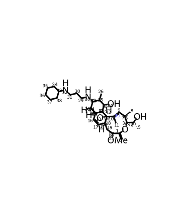 C=C1O[C@H]([C@@H](C)O)[C@H](C)/C=C(\C)[C@]23O[C@@H]4[C@H](C=C[C@@H]2C[C@@H]1OC)[C@H]3[C@H](O)C(C)[C@@H]4NCCCNC1CCCCC1